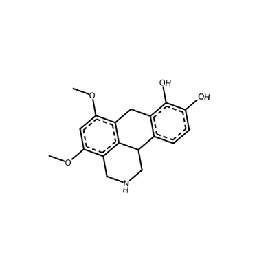 COc1cc(OC)c2c3c1CNCC3c1ccc(O)c(O)c1C2